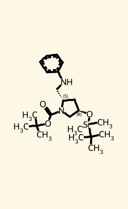 CC(C)(C)OC(=O)N1C[C@H](O[Si](C)(C)C(C)(C)C)C[C@H]1CNc1ccccc1